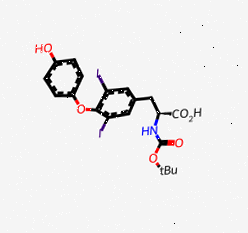 CC(C)(C)OC(=O)N[C@@H](Cc1cc(I)c(Oc2ccc(O)cc2)c(I)c1)C(=O)O